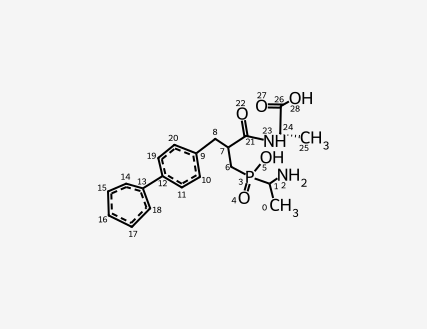 CC(N)P(=O)(O)CC(Cc1ccc(-c2ccccc2)cc1)C(=O)N[C@@H](C)C(=O)O